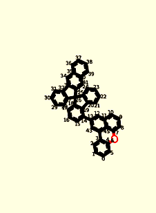 c1ccc2c(c1)Oc1cccc3cc(-c4cccc5c4-c4ccccc4C54c5ccccc5-c5cc6ccccc6cc54)cc-2c13